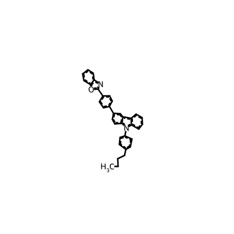 CCCCc1ccc(-n2c3ccccc3c3cc(-c4ccc(-c5nc6ccccc6o5)cc4)ccc32)cc1